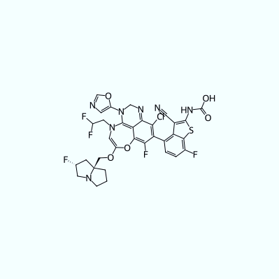 N#Cc1c(NC(=O)O)sc2c(F)ccc(-c3c(F)c4c5c(c3Cl)=NCN(c3cnco3)C=5N(CC(F)F)C=C(OC[C@@]35CCCN3C[C@H](F)C5)O4)c12